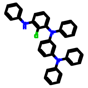 Clc1c(Nc2ccccc2)cccc1N(c1ccccc1)c1cccc(N(c2ccccc2)c2ccccc2)c1